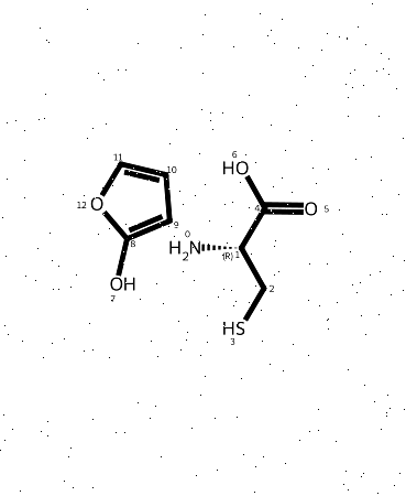 N[C@@H](CS)C(=O)O.Oc1ccco1